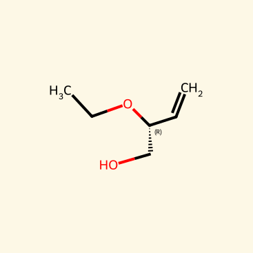 C=C[C@H](CO)OCC